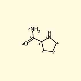 NC(=O)C1C[CH]CN1